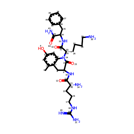 Cc1cc(O)cc2c1CC(NC(=O)[C@H](N)CCCNC(=N)N)C(=O)N2[C@@H](CCCCN)C(=O)NC(Cc1ccccc1)C(N)=O